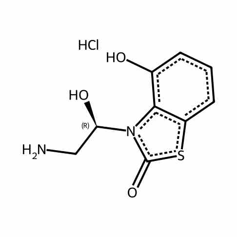 Cl.NC[C@@H](O)n1c(=O)sc2cccc(O)c21